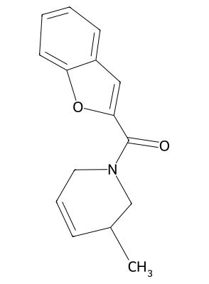 CC1C=CCN(C(=O)c2cc3ccccc3o2)C1